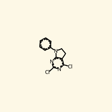 Clc1nc(Cl)c2c(n1)N(c1ccccc1)CC2